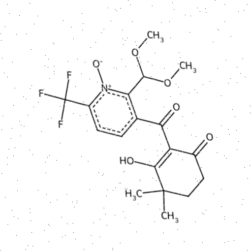 COC(OC)c1c(C(=O)C2=C(O)C(C)(C)CCC2=O)ccc(C(F)(F)F)[n+]1[O-]